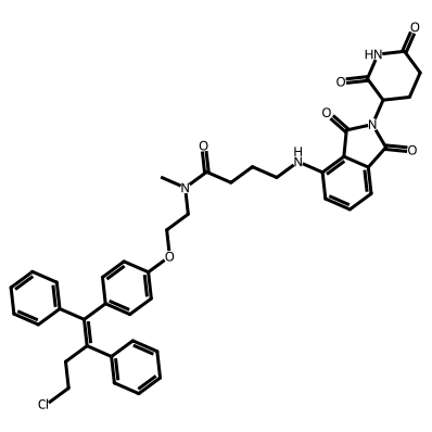 CN(CCOc1ccc(C(=C(CCCl)c2ccccc2)c2ccccc2)cc1)C(=O)CCCNc1cccc2c1C(=O)N(C1CCC(=O)NC1=O)C2=O